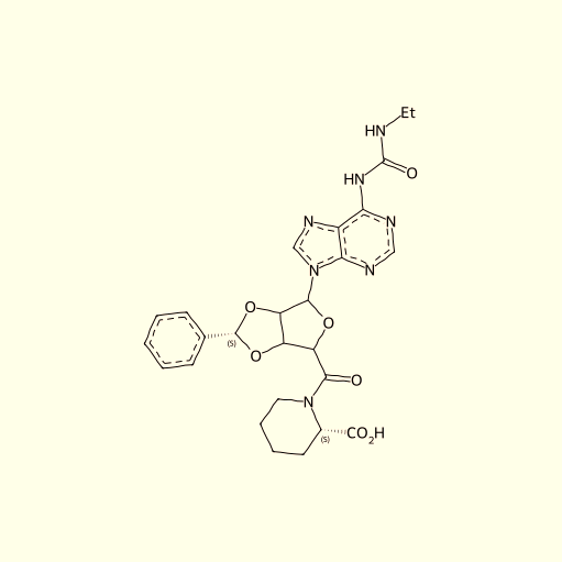 CCNC(=O)Nc1ncnc2c1ncn2C1OC(C(=O)N2CCCC[C@H]2C(=O)O)C2O[C@H](c3ccccc3)OC21